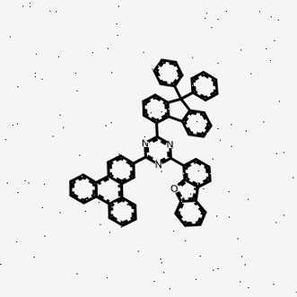 c1ccc(C2(c3ccccc3)c3ccccc3-c3c(-c4nc(-c5ccc6c7ccccc7c7ccccc7c6c5)nc(-c5cccc6c5oc5ccccc56)n4)cccc32)cc1